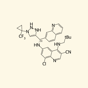 CC(C)(C)CNc1c(C#N)cnc2c(Cl)cc(N[C@H](C3=CN(C4(C(F)(F)F)CC4)NN3)c3ccc4cccnc4c3)cc12